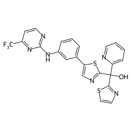 OC(c1ccccn1)(c1nccs1)c1ncc(-c2cccc(Nc3nccc(C(F)(F)F)n3)c2)s1